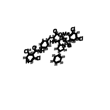 COC(=O)[C@H](Cc1ccc(NC(=O)c2c(Cl)cncc2Cl)cc1)NC(=O)C1C[C@@H](c2ccccc2)CN1S(=O)(=O)c1cc(Cl)cc(Cl)c1